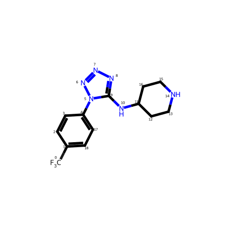 FC(F)(F)c1ccc(-n2nnnc2NC2CCNCC2)cc1